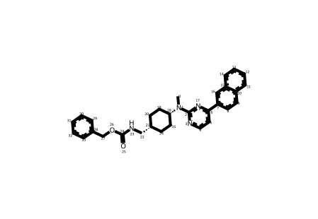 CN(c1nccc(-c2ccc3ccccc3c2)n1)[C@H]1CC[C@@H](CNC(=O)OCc2ccccc2)CC1